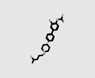 CC(F)CCC[Si@H]1CC[C@H](c2ccc(-c3ccc(OC(F)F)c(F)c3)cc2)CC1